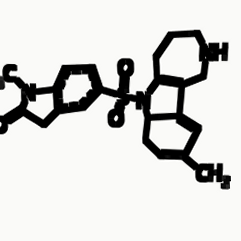 CC1=CCC2C(=C1)C1=C(CCCNC1)N2S(=O)(=O)c1ccc2c(c1)CC(=O)N2C